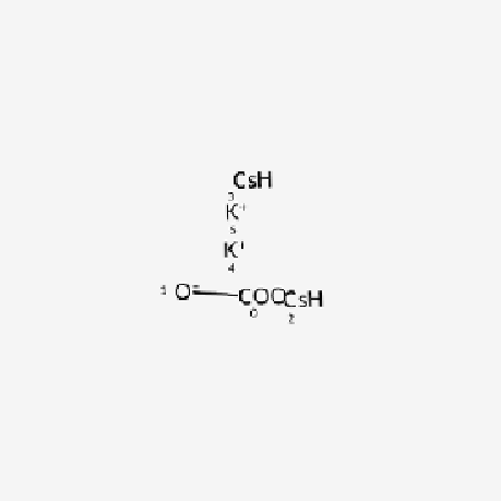 O=C([O-])[O-].[CsH].[CsH].[K+].[K+]